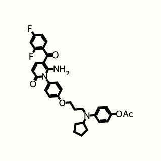 CC(=O)Oc1ccc(N(CCCOc2ccc(-n3c(N)c(C(=O)c4ccc(F)cc4F)ccc3=O)cc2)C2CCCC2)cc1